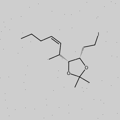 CCC/C=C\C(C)[C@H]1OC(C)(C)O[C@H]1CCI